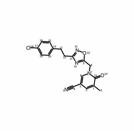 Cc1cc(C#N)cn(Cc2nc(CCc3ccc(Cl)cc3)no2)c1=O